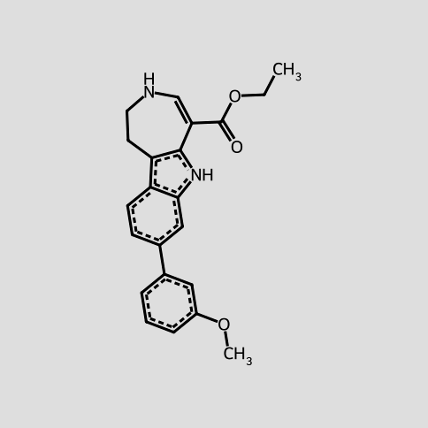 CCOC(=O)C1=CNCCc2c1[nH]c1cc(-c3cccc(OC)c3)ccc21